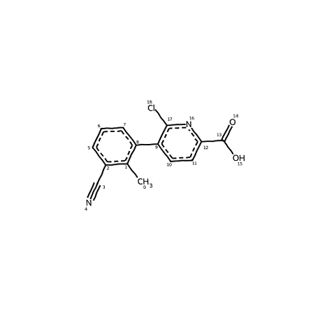 Cc1c(C#N)cccc1-c1ccc(C(=O)O)nc1Cl